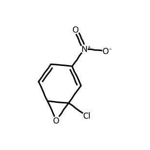 O=[N+]([O-])C1=CC2(Cl)OC2C=C1